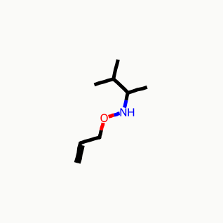 C=CCONC(C)C(C)C